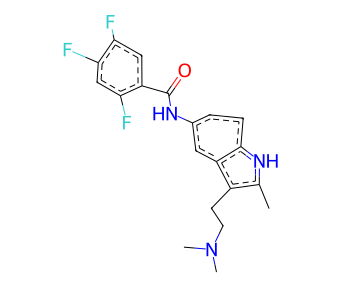 Cc1[nH]c2ccc(NC(=O)c3cc(F)c(F)cc3F)cc2c1CCN(C)C